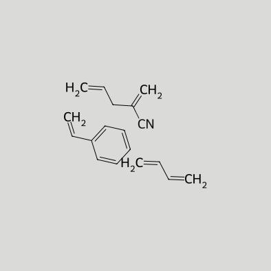 C=CC=C.C=CCC(=C)C#N.C=Cc1ccccc1